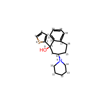 O[C@]1(c2cccs2)C[C@H](N2CCCCC2)CCc2ccccc21